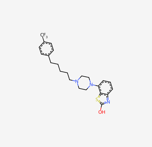 Oc1nc2cccc(N3CCN(CCCCCc4ccc(C(F)(F)F)cc4)CC3)c2s1